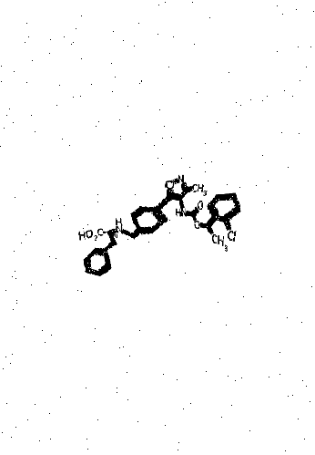 Cc1noc(-c2ccc(CN[C@H](Cc3ccccc3)C(=O)O)cc2)c1NC(=O)OC(C)c1ccccc1Cl